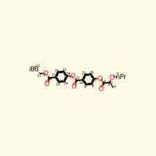 CCCO[C@@H](C)C(=O)Oc1ccc(C(=O)Oc2ccc(C(=O)OC[C@@H](C)CC)cc2)cc1